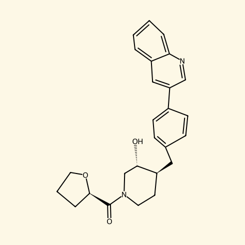 O=C([C@H]1CCCO1)N1CC[C@H](Cc2ccc(-c3cnc4ccccc4c3)cc2)[C@@H](O)C1